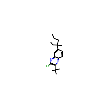 CCCC(C)(CC)c1ccc2nc(C(C)(C)C)c(Cl)nc2c1